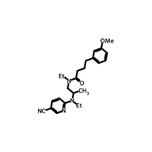 CCN(CC(C)N(CC)c1ccc(C#N)cn1)C(=O)CCCc1cccc(OC)c1